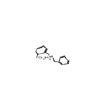 O=C(O)c1ccccc1N/N=C/c1ccccc1